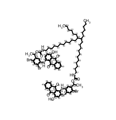 CCCCCCC(CCCCCCCCCCCNC(=O)OC(C)c1cc(Nc2ccc(O)c3c2C(=O)c2ccccc2C3=O)c(Br)cc1Br)C(CCCCCC)CCCCCCCCCCCNC(=O)OC(C)c1cc(Nc2ccc(O)c3c2C(=O)c2ccccc2C3=O)c(Br)cc1Br